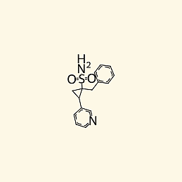 NS(=O)(=O)C1(Cc2ccccc2)CC1c1cccnc1